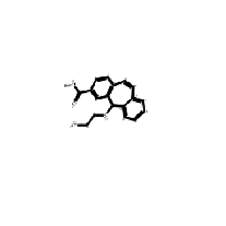 COC(=O)c1ccc2c(c1)C(SCCO)c1ccccc1C=C2